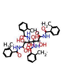 [CH2]c1ccccc1C(=O)NC(=O)[C@H](O)[C@](O)(NC(=O)c1ccccc1[CH2])[C@@](O)(NC(=O)c1ccccc1[CH2])[C@H](O)C(O)NC(=O)c1ccccc1[CH2]